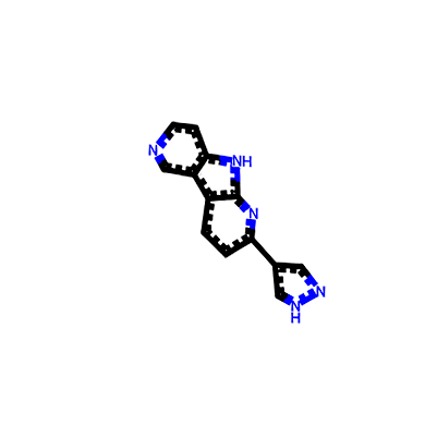 c1cc2[nH]c3nc(-c4cn[nH]c4)ccc3c2cn1